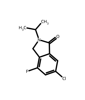 CC(C)N1Cc2c(F)cc(Cl)cc2C1=O